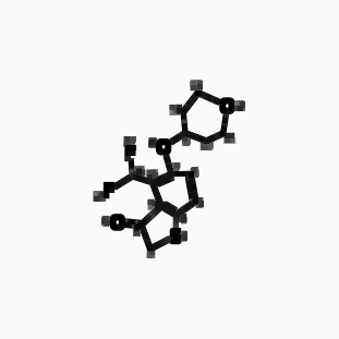 O=C1CSc2ccc(OC3CCOCC3)c(C(F)F)c21